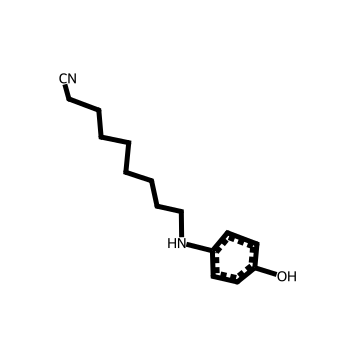 N#CCCCCCCCCNc1ccc(O)cc1